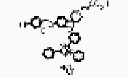 Cl.O=C(O)CCN1CCC2(CC1)COc1cc(OCc3ccc(Cl)cc3Cl)ccc12.[Cl-].c1ccc(-c2nn(-c3ccccc3)[n+](-c3ccccc3)n2)cc1